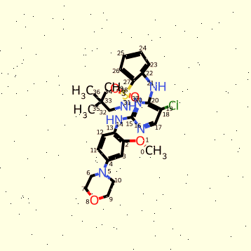 COc1cc(N2CCOCC2)ccc1Nc1ncc(Cl)c(Nc2ccccc2S(=O)(=O)NCC(C)(C)C)n1